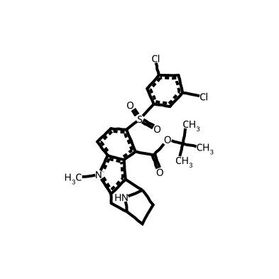 Cn1c2c(c3c(C(=O)OC(C)(C)C)c(S(=O)(=O)c4cc(Cl)cc(Cl)c4)ccc31)C1CCC(C2)N1